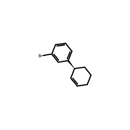 Brc1cccc([C@@H]2C=CCCC2)c1